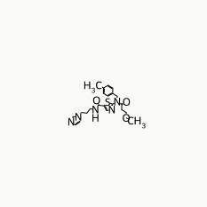 COCCC(=O)N(Cc1ccc(C)cc1)c1ncc(C(=O)NCCCn2ccnc2)s1